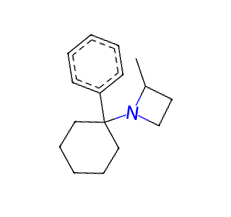 CC1CCN1C1(c2ccccc2)CCCCC1